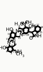 CNc1ccc(O)c2c1CN1CN2Cc2cc(O)c3c(c21)CN1CN3Cc2c1cc(C1C(=O)Nc3ccccc31)c(O)c2N(C)C